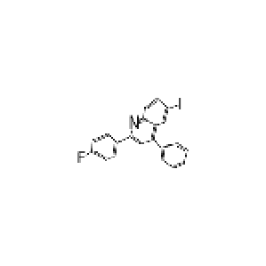 Fc1ccc(-c2cc(-c3ccccc3)c3cc(I)ccc3n2)cc1